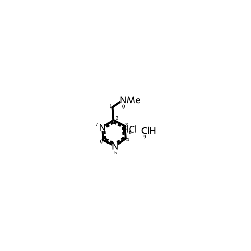 CNCc1ccncn1.Cl.Cl